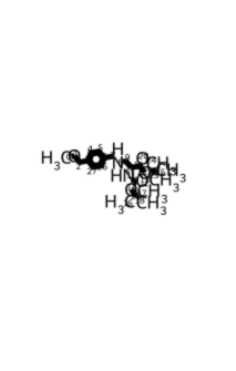 COCc1ccc(CNCC(NC(=O)OC(C)(C)C)C(=O)OC(C)(C)C)cc1